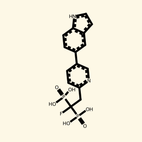 O=P(O)(O)C(F)(Cc1ccc(-c2ccc3[nH]ccc3c2)cn1)P(=O)(O)O